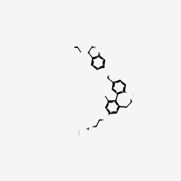 CCOCCOc1cc(C)c2c(c1)CCOc1ccc(COc3ccc4c(c3)OC[C@H]4CCC(=O)O)cc1-2